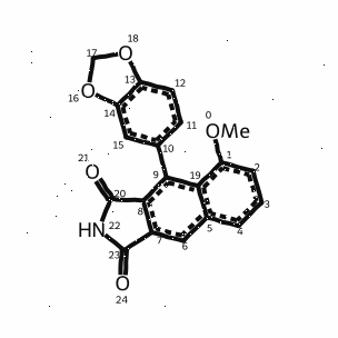 COc1cccc2cc3c(c(-c4ccc5c(c4)OCO5)c12)C(=O)NC3=O